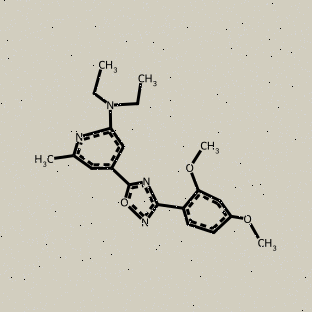 CCN(CC)c1cc(-c2nc(-c3ccc(OC)cc3OC)no2)cc(C)n1